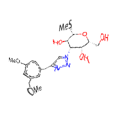 COc1cc(OC)cc(-c2cn([C@H]3[C@@H](O)[C@@H](CO)O[C@@H](SC)[C@@H]3O)nn2)c1